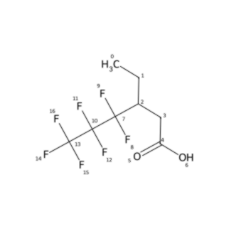 CCC(CC(=O)O)C(F)(F)C(F)(F)C(F)(F)F